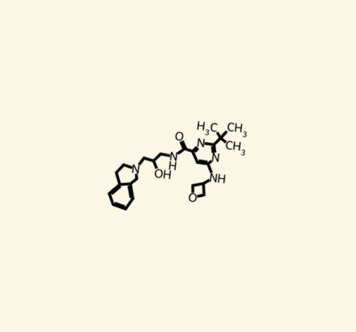 CC(C)(C)c1nc(NC2COC2)cc(C(=O)NCC(O)CN2CCc3ccccc3C2)n1